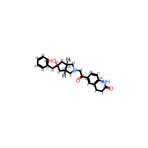 O=C1CCc2cc(C(=O)CN3C[C@@H]4C[C@](O)(Cc5ccccc5)C[C@@H]4C3)ccc2N1